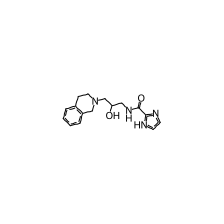 O=C(NCC(O)CN1CCc2ccccc2C1)c1ncc[nH]1